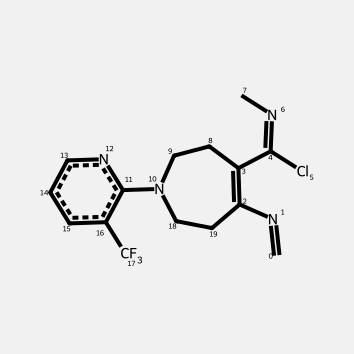 C=NC1=C(/C(Cl)=N\C)CCN(c2ncccc2C(F)(F)F)CC1